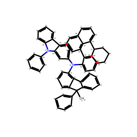 CC1(c2ccccc2)c2ccccc2-c2c(N(c3ccc4c5ccccc5n(-c5ccccc5)c4c3)c3ccccc3-c3cccc4cccc(C5CCCCC5)c34)cccc21